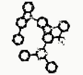 CC1(C)c2cccnc2-n2c3ccc(-n4c5ccccc5c5ccc(-c6ccccc6)cc54)cc3c3cc(-c4nc(-c5ccccc5)nc(-c5ccccc5)n4)cc1c32